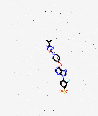 CC(C)c1noc(N2CCC(Oc3ncnc4c3ncn4-c3ccc(S(C)(=O)=O)cc3F)CC2)n1